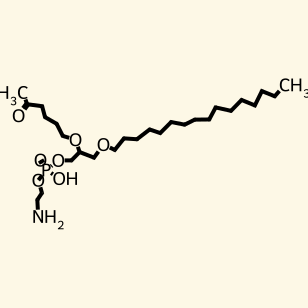 CCCCCCCCCCCCCCCCOCC(COP(=O)(O)OCCN)OCCCCC(C)=O